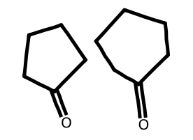 O=C1CCCC1.O=C1CCCCC1